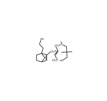 CC(C)(CO)CO.O=C(O)C1=CC2CCC1(CCO)C2.O=C(O)C=CC(=O)O